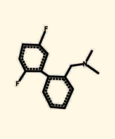 CN(C)Cc1ccccc1-c1cc(F)ccc1F